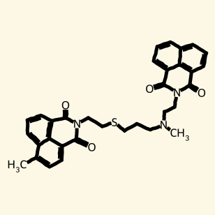 Cc1ccc2c3c(cccc13)C(=O)N(CCSCCCN(C)CCN1C(=O)c3cccc4cccc(c34)C1=O)C2=O